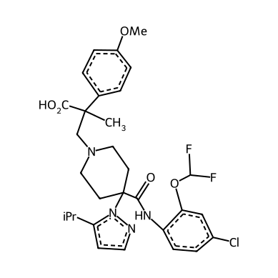 COc1ccc(C(C)(CN2CCC(C(=O)Nc3ccc(Cl)cc3OC(F)F)(n3nccc3C(C)C)CC2)C(=O)O)cc1